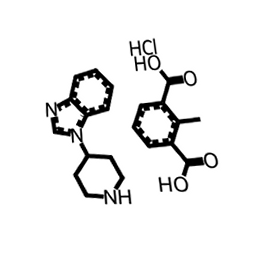 Cc1c(C(=O)O)cccc1C(=O)O.Cl.c1ccc2c(c1)ncn2C1CCNCC1